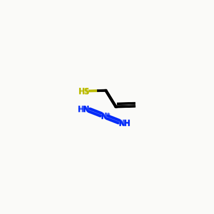 C=CCS.N=[N+]=N